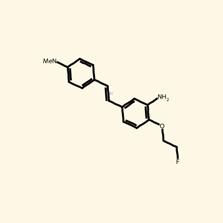 CNc1ccc(/C=C/c2ccc(OCCF)c(N)c2)cc1